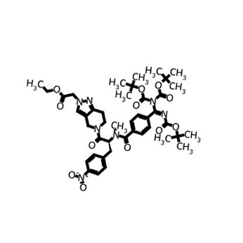 CCOC(=O)Cn1cc2c(n1)CCN(C(=O)[C@H](Cc1ccc([N+](=O)[O-])cc1)N(C)C(=O)c1ccc(C(=NC(=O)OC(C)(C)C)N(C(=O)OC(C)(C)C)C(=O)OC(C)(C)C)cc1)C2